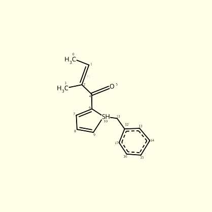 C/C=C(\C)C(=O)C1=CC=C[SH]1Cc1ccccc1